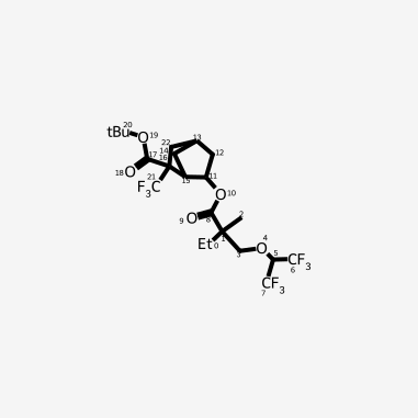 CCC(C)(COC(C(F)(F)F)C(F)(F)F)C(=O)OC1CC2CC1C(C(=O)OC(C)(C)C)(C(F)(F)F)C2